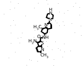 Cc1ccc2c(N)c(C(=O)N[C@@H]3Cc4ccc(N5CCNCC5)nc4[C@@H](C)C3)sc2n1